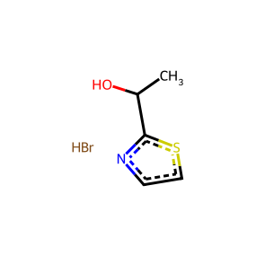 Br.CC(O)c1nccs1